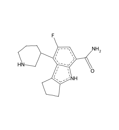 NC(=O)c1cc(F)c(C2CCCNC2)c2c3c([nH]c12)CCC3